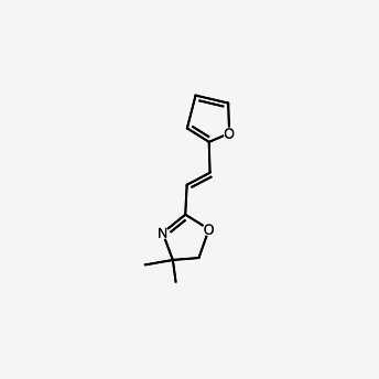 CC1(C)COC(C=Cc2ccco2)=N1